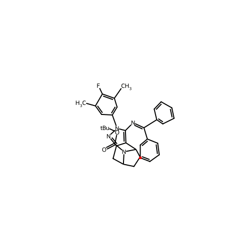 Cc1cc(-n2nc3c(c2N=C(c2ccccc2)c2ccccc2)C2CCC(C3)N2C(=O)OC(C)(C)C)cc(C)c1F